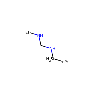 CCC[SiH2]NCNCC